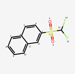 O=S(=O)(c1ccc2ccccc2c1)C(F)F